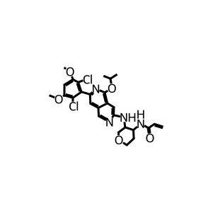 C=CC(=O)NC1CCOCC1Nc1cc2c(OC(C)C)nc(-c3c(Cl)c(OC)cc(OC)c3Cl)cc2cn1